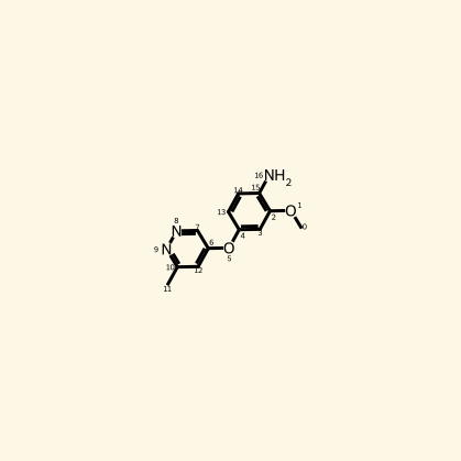 COc1cc(Oc2cnnc(C)c2)ccc1N